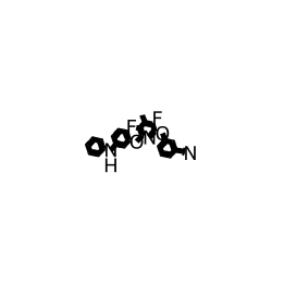 Cc1c(F)c(Oc2cccc(C#N)c2)nc(Oc2cccc(Nc3ccccc3)c2)c1F